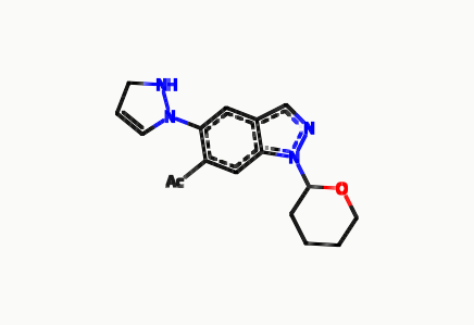 CC(=O)c1cc2c(cnn2C2CCCCO2)cc1N1C=CCN1